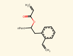 C=CC(=O)OC(CCCCC)Cc1ccccc1C=C